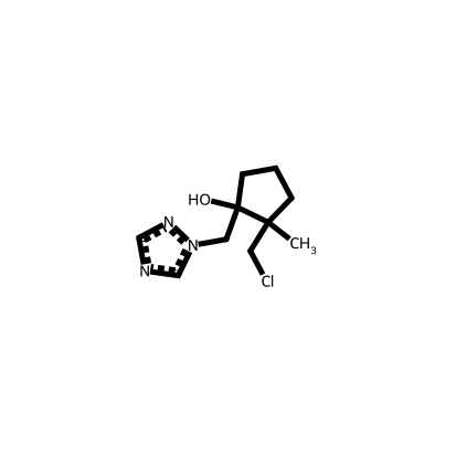 CC1(CCl)CCCC1(O)Cn1cncn1